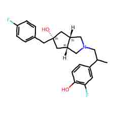 CC(CN1C[C@@H]2C[C@@](O)(Cc3ccc(F)cc3)C[C@@H]2C1)c1ccc(O)c(F)c1